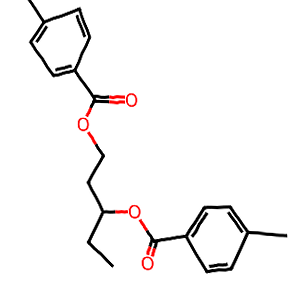 CCC(CCOC(=O)c1ccc(C)cc1)OC(=O)c1ccc(C)cc1